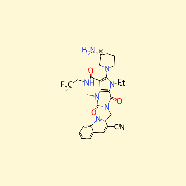 CCn1c(N2CCC[C@@H](N)C2)c(C(=O)NCC(F)(F)F)c2c1c(=O)n(Cc1nc3ccccc3cc1C#N)c(=O)n2C